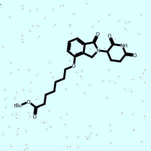 CC(C)(C)OC(=O)CCCCCCOc1cccc2c1CN(C1CCC(=O)NC1=O)C2=O